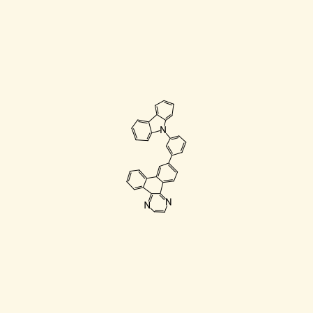 c1cc(-c2ccc3c(c2)c2ccccc2c2nccnc32)cc(-n2c3ccccc3c3ccccc32)c1